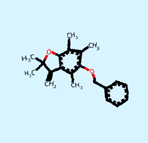 C=C1c2c(C)c(OCc3ccccc3)c(C)c(C)c2OC1(C)C